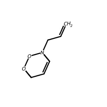 C=CCN1C=CCOO1